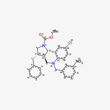 CC(C)(C)OC(=O)N1C[C@@H](Cc2ccccc2)[C@H](CN(Cc2cccc([N+](=O)[O-])c2)c2ccc(Cl)cc2)C1